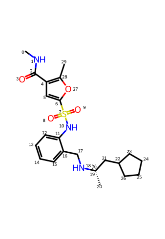 CNC(=O)c1cc(S(=O)(=O)Nc2ccccc2CN[C@@H](C)CC2CCCC2)oc1C